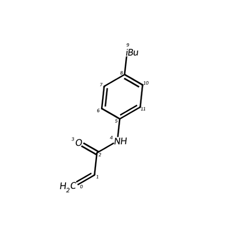 C=CC(=O)Nc1ccc(C(C)CC)cc1